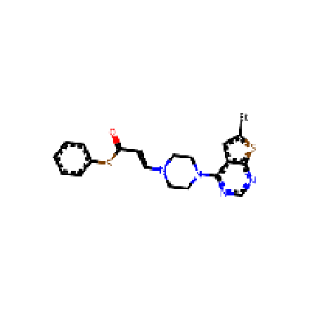 CCc1cc2c(N3CCN(C=CC(=O)Sc4ccccc4)CC3)ncnc2s1